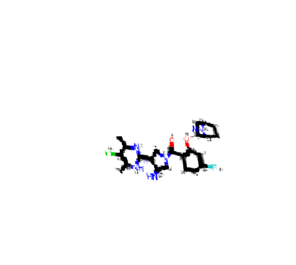 CC1=N/C(=C2\CN(C(=O)c3ccc(F)cc3O[C@@H]3CC4CCC3N4)CC2=N)NC(C)=C1Cl